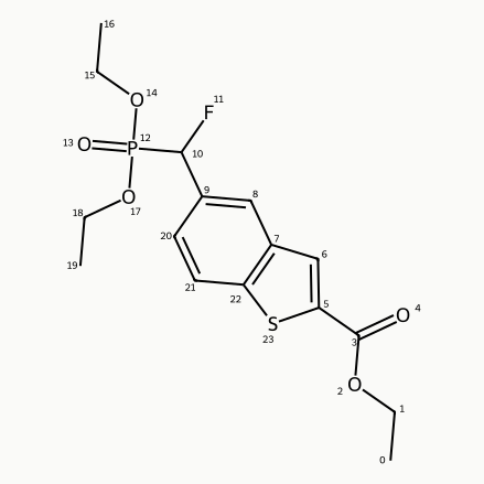 CCOC(=O)c1cc2cc(C(F)P(=O)(OCC)OCC)ccc2s1